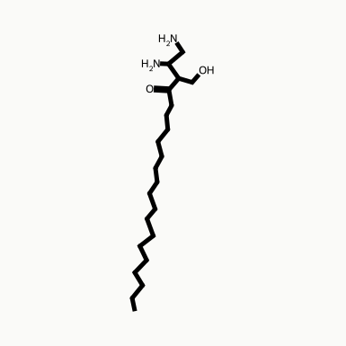 CCCCCCCCCCCCCCCCCC(=O)C(CO)C(N)CN